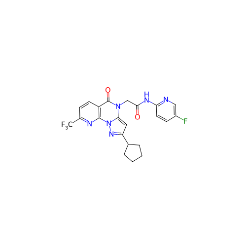 O=C(Cn1c(=O)c2ccc(C(F)(F)F)nc2n2nc(C3CCCC3)cc12)Nc1ccc(F)cn1